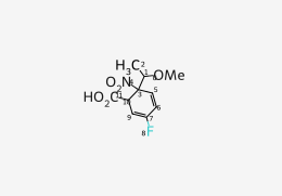 COC(C)C1([N+](=O)[O-])C=CC(F)=CC1C(=O)O